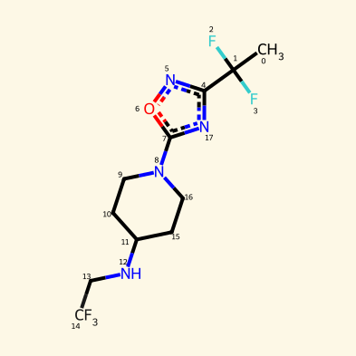 CC(F)(F)c1noc(N2CCC(NCC(F)(F)F)CC2)n1